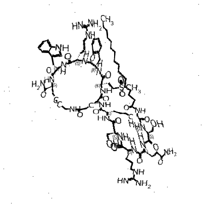 CCCCCCCCCCCCCCCC(=O)NCC(=O)N[C@@H](CO)C(=O)N[C@@H](CCC(N)=O)C(=O)N[C@@H](CCCNC(=N)N)C(=O)N[C@@H](CO)C(=O)N[C@@H](CCCC)C(=O)N[C@H]1CCC(=O)NCCCC[C@@H](C(N)=O)NC(=O)[C@H](Cc2c[nH]c3ccccc23)NC(=O)[C@H](CCCNC(=N)N)NC(=O)[C@@H](Cc2ccccc2)NC(=O)[C@H](CCS(C)(=O)=O)NC1=O